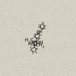 C[C@H](N[C@H](C)c1ccccc1)[C@H](O)c1ccc(OCc2ccccc2)cc1